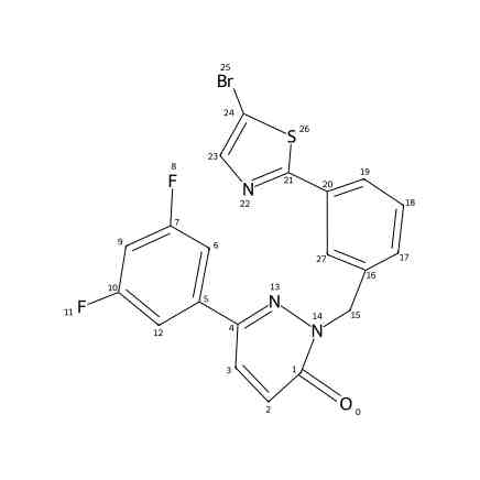 O=c1ccc(-c2cc(F)cc(F)c2)nn1Cc1cccc(-c2ncc(Br)s2)c1